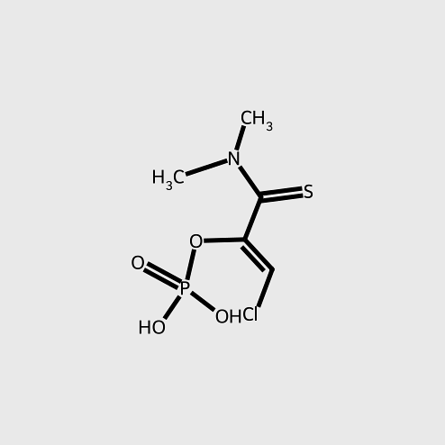 CN(C)C(=S)C(=CCl)OP(=O)(O)O